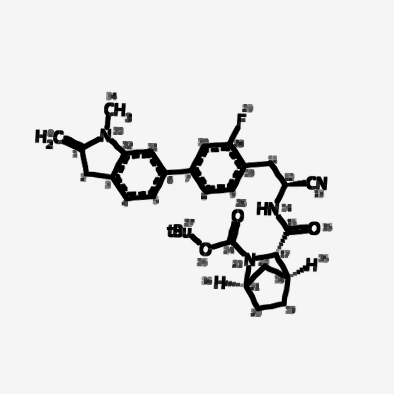 C=C1Cc2ccc(-c3ccc(C[C@@H](C#N)NC(=O)[C@@H]4[C@H]5CC[C@H](C5)N4C(=O)OC(C)(C)C)c(F)c3)cc2N1C